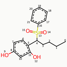 CCCCC(c1ccc(O)cc1O)S(=O)(=O)c1ccccc1